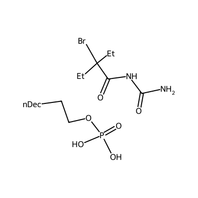 CCC(Br)(CC)C(=O)NC(N)=O.CCCCCCCCCCCCOP(=O)(O)O